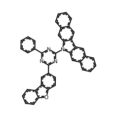 c1ccc(-c2nc(-c3ccc4oc5ccccc5c4c3)nc(-n3c4cc5ccccc5cc4c4cc5ccccc5cc43)n2)cc1